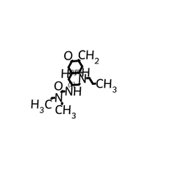 C=C1C[C@@H]2[C@@H](CC1=O)C[C@H](NC(=O)N(CC)CC)CN2CCC